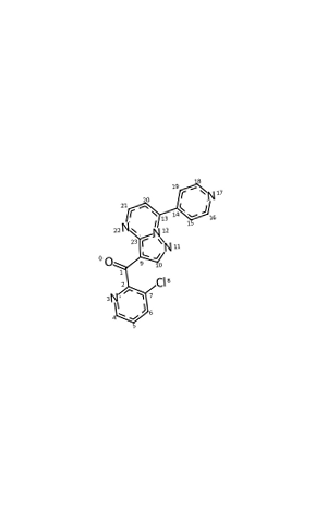 O=C(c1ncccc1Cl)c1cnn2c(-c3ccncc3)ccnc12